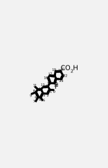 Cc1cc2c(C)c(C)c(C)c(C)c2cc1-c1ccc2cc(C(=O)O)ccc2c1F